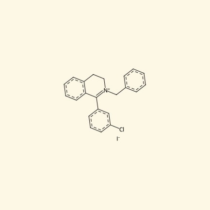 Clc1cccc(C2=[N+](Cc3ccccc3)CCc3ccccc32)c1.[I-]